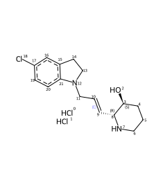 Cl.Cl.O[C@H]1CCCN[C@@H]1/C=C/CN1CCc2cc(Cl)ccc21